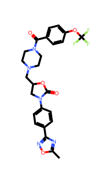 Cc1nc(-c2ccc(N3CC(CN4CCN(C(=O)c5ccc(OC(F)(F)F)cc5)CC4)OC3=O)cc2)no1